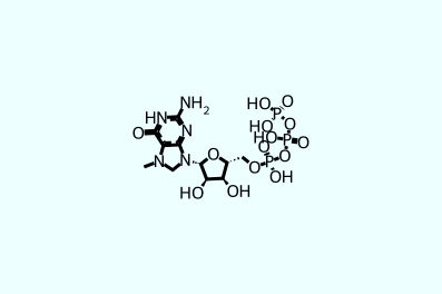 CN1CN([C@@H]2O[C@H](COP(=O)(O)OP(=O)(O)OP(=O)(O)O)[C@@H](O)[C@H]2O)c2nc(N)[nH]c(=O)c21